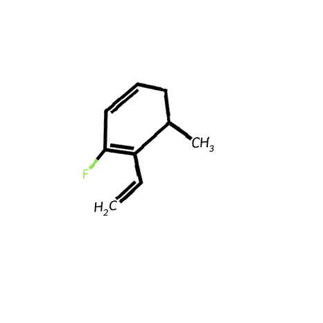 C=CC1=C(F)C=CCC1C